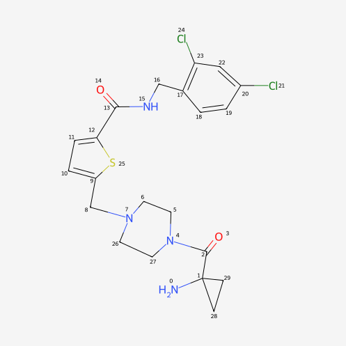 NC1(C(=O)N2CCN(Cc3ccc(C(=O)NCc4ccc(Cl)cc4Cl)s3)CC2)CC1